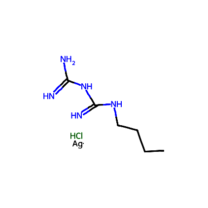 CCCCNC(=N)NC(=N)N.Cl.[Ag]